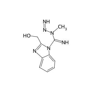 CN(N=N)C(=N)n1c(CO)nc2ccccc21